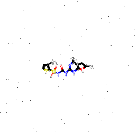 Cc1cc2c(C)nc(NC(=O)NS(=O)(=O)c3sccc3C)nc2o1